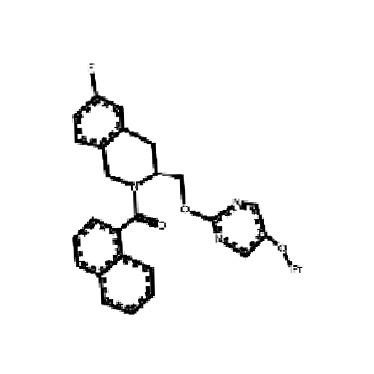 CC(C)Oc1cnc(OC[C@@H]2Cc3cc(F)ccc3CN2C(=O)c2cccc3ccccc23)nc1